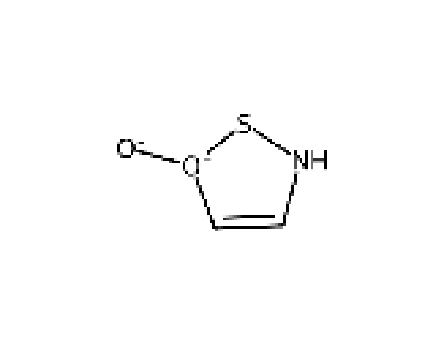 [O-][O+]1C=CNS1